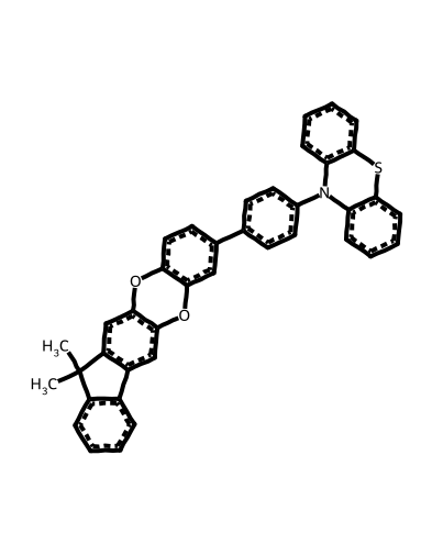 CC1(C)c2ccccc2-c2cc3c(cc21)Oc1ccc(-c2ccc(N4c5ccccc5Sc5ccccc54)cc2)cc1O3